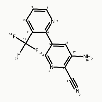 N#Cc1ncc(-c2ncccc2C(F)(F)F)cc1N